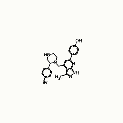 Cc1n[nH]c2nc(-c3ccc(O)cc3)cc(CN3CCNCC3c3ccc(C(C)C)cc3)c12